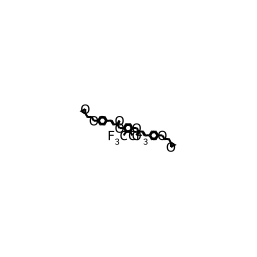 O=C(/C=C/c1ccc(OCCC2CO2)cc1)Oc1ccc(OC(=O)/C=C/c2ccc(OCCC3CO3)cc2)c(C(F)(F)F)c1C(F)(F)F